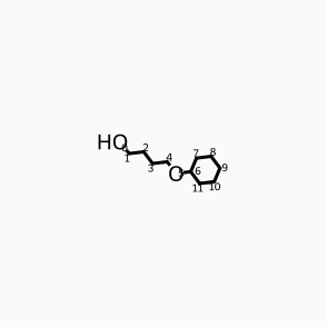 OCCCCOC1CCCCC1